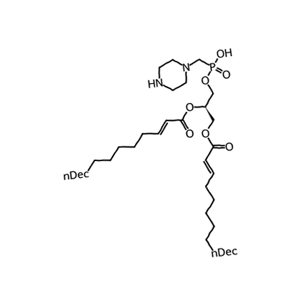 CCCCCCCCCCCCCCCC=CC(=O)OC[C@H](COP(=O)(O)CN1CCNCC1)OC(=O)C=CCCCCCCCCCCCCCCC